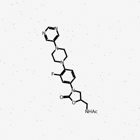 CC(=O)NCC1CN(c2ccc(N3CCN(c4cncnc4)CC3)c(F)c2)C(=O)O1